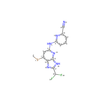 CSc1cc(Nc2cccc(C#N)n2)nc2[nH]c(C(F)F)nc12